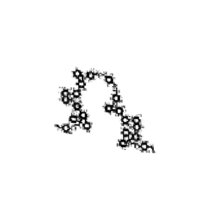 C=Cc1ccc(OCCC2(c3ccccc3)c3ccccc3-c3ccc(-c4ccc(N(c5ccc(-c6ccc7c(c6)c6ccccc6n7-c6ccc(COCc7ccc(COCc8ccc(-n9c%10ccccc%10c%10cc(-c%11ccc(N(c%12ccc%13c(c%12)C(CCOc%12ccc(C=C)cc%12)(c%12ccccc%12)c%12ccccc%12-%13)c%12cccc%13ccccc%12%13)cc%11)ccc%109)cc8)cc7)cc6)cc5)c5cccc6ccccc56)cc4)cc32)cc1